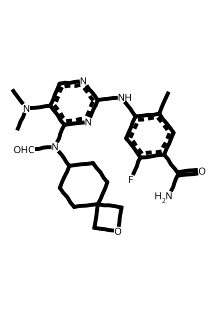 Cc1cc(C(N)=O)c(F)cc1Nc1ncc(N(C)C)c(N(C=O)C2CCC3(CC2)COC3)n1